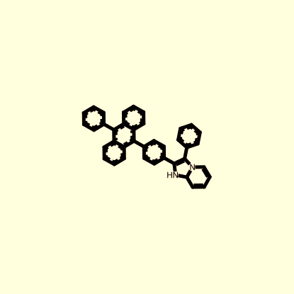 C1=CC2NC(c3ccc(-c4c5ccccc5c(-c5ccccc5)c5ccccc45)cc3)=C(c3ccccc3)N2C=C1